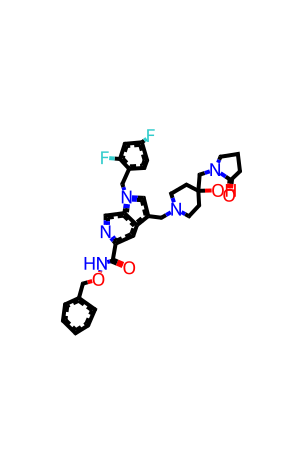 O=C(NOCc1ccccc1)c1cc2c(CN3CCC(O)(CN4CCCC4=O)CC3)cn(Cc3ccc(F)cc3F)c2cn1